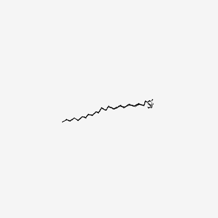 CCCCCCCCCCCCCCCCCCCCCC[Si](C)C